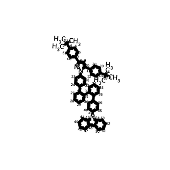 CC(C)(C)c1ccc(-c2cc(-c3ccc(C(C)(C)C)cc3)n(-c3ccc(-c4ccccc4-c4ccccc4-c4ccc(-n5c6ccccc6c6ccccc65)cc4)cc3)n2)cc1